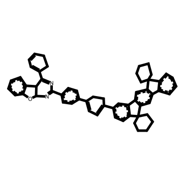 C1=CCCC(C2=NC(c3ccc(C4=CC=C(c5ccc6c(c5)-c5cc7c(cc5C65CCCCC5)-c5ccccc5C75CCCCC5)CC4)cc3)=NC3Oc4ccccc4C23)=C1